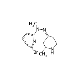 CC1C/C(=N\N(C)c2cccc(Br)n2)CCN1